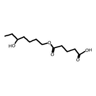 CCC(O)CCCCOC(=O)CCCC(=O)O